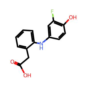 O=C(O)Cc1ccccc1Nc1ccc(O)c(F)c1